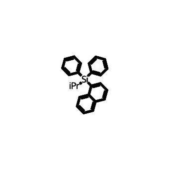 CC(C)[Si](c1ccccc1)(c1ccccc1)c1cccc2ccccc12